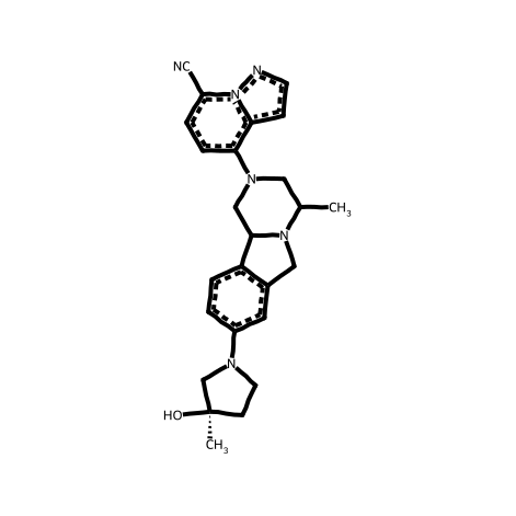 CC1CN(c2ccc(C#N)n3nccc23)CC2c3ccc(N4CC[C@@](C)(O)C4)cc3CN12